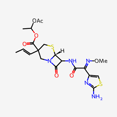 CC=CC1(C(=O)OC(C)OC(C)=O)CS[C@@H]2C(NC(=O)C(=NOC)c3csc(N)n3)C(=O)N2C1